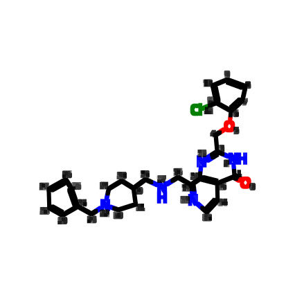 O=c1[nH]c(COc2ccccc2Cl)nc2c(CNCC3CCN(Cc4ccccc4)CC3)nccc12